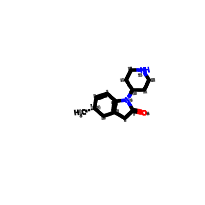 C[C@@H]1C=CC2=C(CC(=O)N2C2CCNCC2)C1